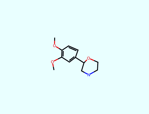 COc1ccc(C2C[N]CCO2)cc1OC